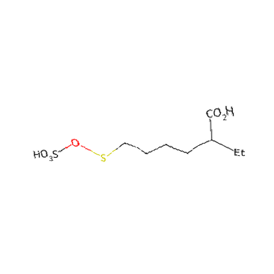 CCC(CCCCSOS(=O)(=O)O)C(=O)O